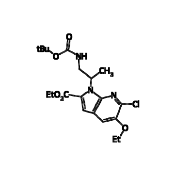 CCOC(=O)c1cc2cc(OCC)c(Cl)nc2n1C(C)CNC(=O)OC(C)(C)C